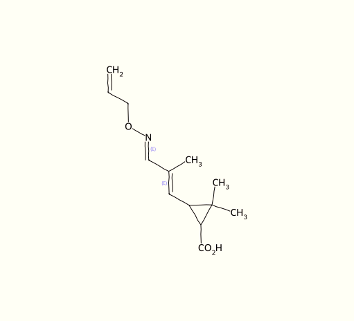 C=CCO/N=C/C(C)=C/C1C(C(=O)O)C1(C)C